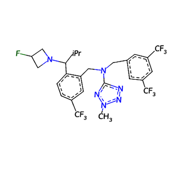 CC(C)C(c1ccc(C(F)(F)F)cc1CN(Cc1cc(C(F)(F)F)cc(C(F)(F)F)c1)c1nnn(C)n1)N1CC(F)C1